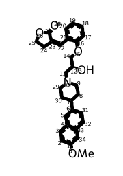 COc1ccc2cc(C3CCN(C[C@H](O)COc4ccccc4C=C4CCOC4=O)CC3)ccc2c1